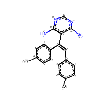 CCCc1ccc(C=C(c2ccc(CCC)cc2)c2c(N)ncnc2N)cc1